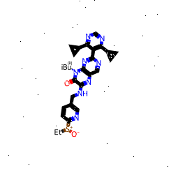 CC[C@@H](C)n1c(=O)c(NCc2ccc([S+]([O-])CC)nc2)nc2cnc(-c3c(C4CC4)ncnc3C3CC3)nc21